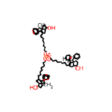 C=C(c1ccccc1)C12CCC(O)C1CC(CCCCCCCCOP(=O)(OCCCCCCCCC1=C(c3ccccc3)C3(C(=C)c4ccccc4)CCC(O)C3C1)OCCCCCCCCC1=C(c3ccccc3)C3(C(=C)c4ccccc4)CCC(O)C3C1)=C2c1ccccc1